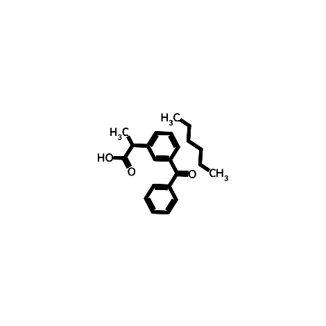 CC(C(=O)O)c1cccc(C(=O)c2ccccc2)c1.CCCCCC